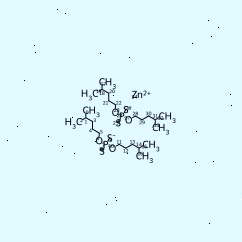 CC(C)CCCOP(=S)([S-])OCCCC(C)C.CC(C)CCCOP(=S)([S-])OCCCC(C)C.[Zn+2]